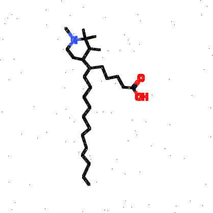 CCCCCCCCCCCCC(CCCCC(=O)O)C1CCN(C)C(C)(C)C1C